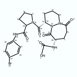 O=C(O)N[C@H]1CCC(=O)N2CCC[C@@H](C(=O)N3CCCC3C(=O)Nc3ccc(Br)cc3)N2C1=O